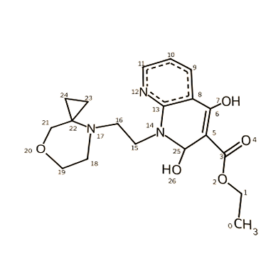 CCOC(=O)C1=C(O)c2cccnc2N(CCN2CCOCC23CC3)C1O